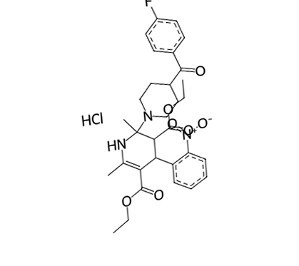 CCOC(=O)C1=C(C)NC(C)(N2CCC(C(=O)c3ccc(F)cc3)CC2)C(C(=O)OCC)C1c1ccccc1[N+](=O)[O-].Cl